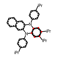 CC(C)c1ccc(N(c2ccc(C(C)C)cc2)c2cc3ccccc3cc2N(c2ccc(C(C)C)cc2)c2ccc(C(C)C)cc2)cc1